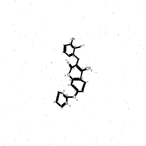 Cc1c(Cc2cccc(Br)c2F)c(=O)oc2cc(Oc3ncccn3)ccc12